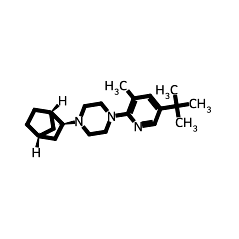 Cc1cc(C(C)(C)C)cnc1N1CCN([C@H]2C[C@@H]3CC[C@H]2C3)CC1